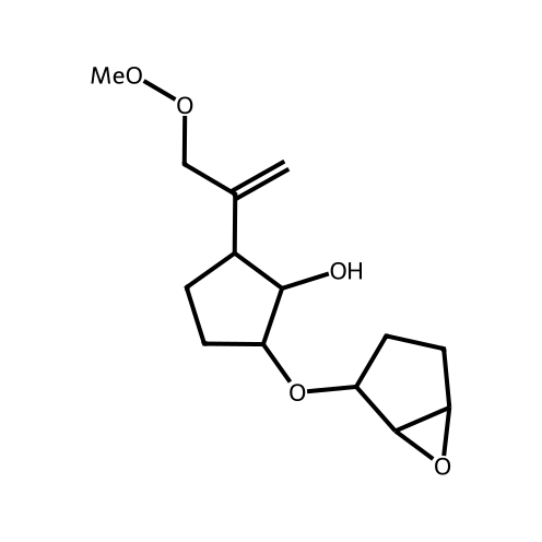 C=C(COOC)C1CCC(OC2CCC3OC23)C1O